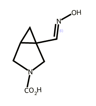 O=C(O)N1CC2CC2(/C=N/O)C1